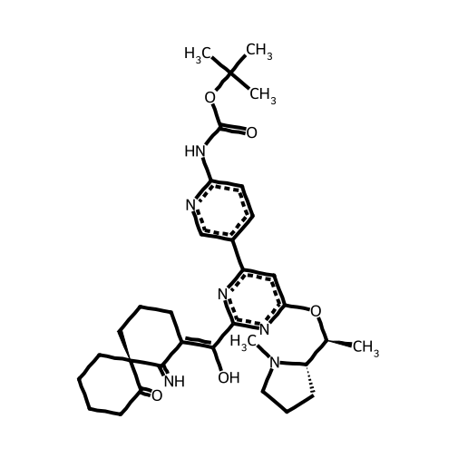 C[C@H](Oc1cc(-c2ccc(NC(=O)OC(C)(C)C)nc2)nc(/C(O)=C2\CCC[C@@]3(CCCCC3=O)C2=N)n1)[C@@H]1CCCN1C